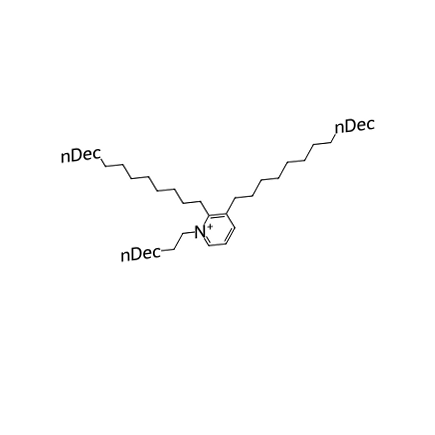 CCCCCCCCCCCCCCCCCCc1ccc[n+](CCCCCCCCCCCC)c1CCCCCCCCCCCCCCCCCC